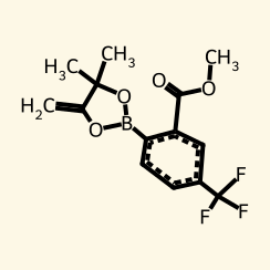 C=C1OB(c2ccc(C(F)(F)F)cc2C(=O)OC)OC1(C)C